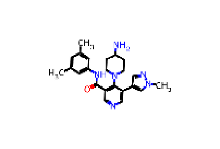 Cc1cc(C)cc(NC(=O)c2cncc(-c3cnn(C)c3)c2N2CCC(N)CC2)c1